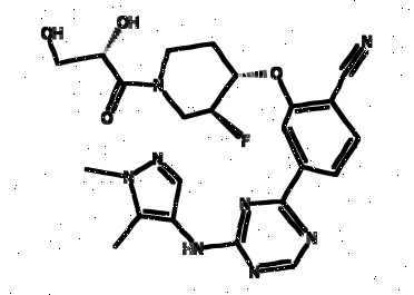 Cc1c(Nc2ncnc(-c3ccc(C#N)c(O[C@H]4CCN(C(=O)[C@@H](O)CO)C[C@@H]4F)c3)n2)cnn1C